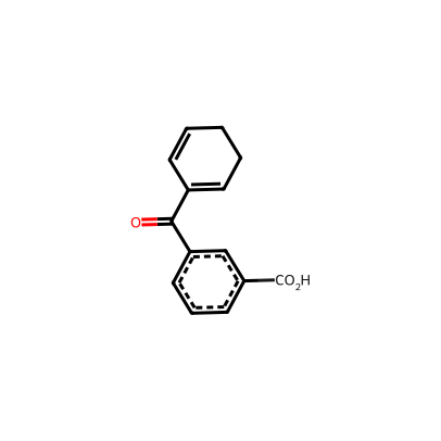 O=C(O)c1cccc(C(=O)C2=CCCC=C2)c1